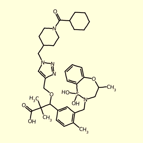 Cc1ccc(C(OCc2cn(CC3CCN(C(=O)C4CCCCC4)CC3)nn2)C(C)(C)C(=O)O)cc1CN1CC(C)Oc2ccccc2S1(O)O